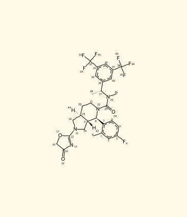 Cc1cc(F)ccc1[C@H]1[C@@H]2CN(C3=NC(=O)CO3)C[C@H]2CCN1C(=O)N(C)[C@H](C)c1cc(C(F)(F)F)cc(C(F)(F)F)c1